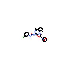 CC1=N[C@@H](NC(=O)Nc2cccc(Cl)c2)C(=O)N(CC(=O)N2CC3CCC(CC3)C2)c2c(C)cccc21